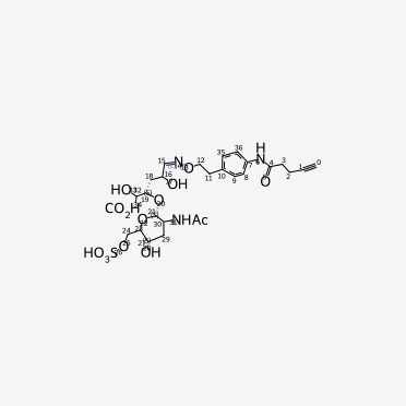 C#CCCC(=O)Nc1ccc(CCO/N=C\C(O)C[C@H](O[C@H]2OC(COS(=O)(=O)O)[C@@H](O)CC2NC(C)=O)C(O)C(=O)O)cc1